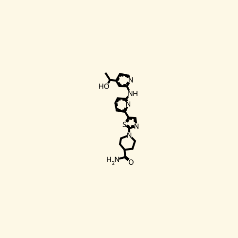 CC(O)c1ccnc(Nc2cccc(-c3cnc(N4CCC(C(N)=O)CC4)s3)n2)c1